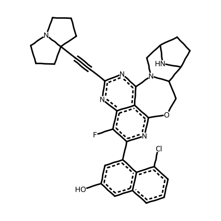 Oc1cc(-c2nc3c4c(nc(C#CC56CCCN5CCC6)nc4c2F)N2CC4CCC(N4)C2CO3)c2c(Cl)cccc2c1